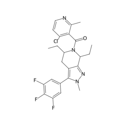 CCC1Cc2c(nn(C)c2-c2cc(F)c(F)c(F)c2)C(CC)N1C(=O)c1c(Cl)ccnc1C